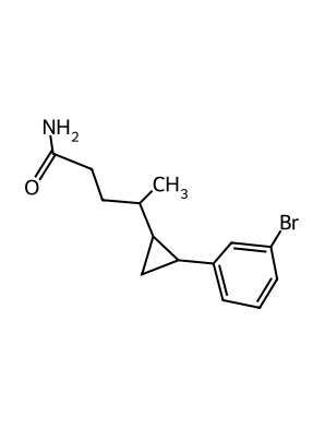 CC(CCC(N)=O)C1CC1c1cccc(Br)c1